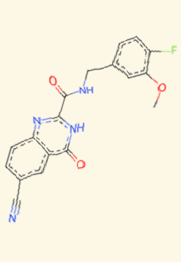 COc1cc(CNC(=O)c2nc3ccc(C#N)cc3c(=O)[nH]2)ccc1F